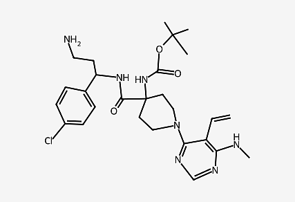 C=Cc1c(NC)ncnc1N1CCC(NC(=O)OC(C)(C)C)(C(=O)NC(CCN)c2ccc(Cl)cc2)CC1